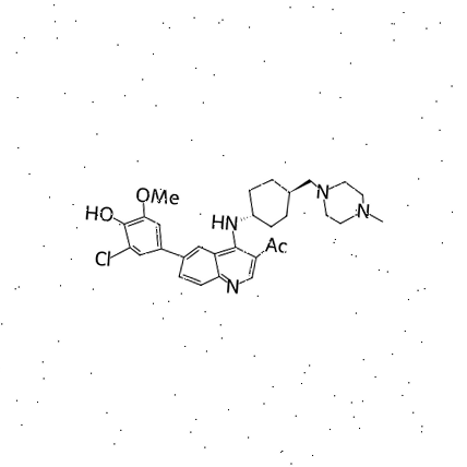 COc1cc(-c2ccc3ncc(C(C)=O)c(N[C@H]4CC[C@H](CN5CCN(C)CC5)CC4)c3c2)cc(Cl)c1O